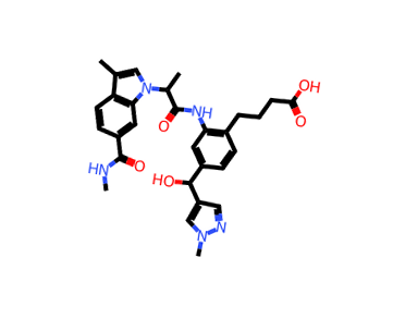 CNC(=O)c1ccc2c(C)cn(C(C)C(=O)Nc3cc(C(O)c4cnn(C)c4)ccc3CCCC(=O)O)c2c1